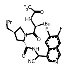 CC(C)C[C@@H]1C[C@@H](C(=O)NC(C#N)c2cncc3cc(F)c(F)cc23)N(C(=O)[C@@H](NC(=O)C(F)(F)F)C(C)(C)C)C1